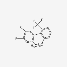 Cc1cc(F)c(F)cc1-c1c(C)cccc1C(F)(F)F